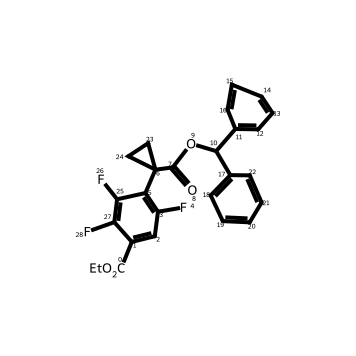 CCOC(=O)c1cc(F)c(C2(C(=O)OC(c3ccccc3)c3ccccc3)CC2)c(F)c1F